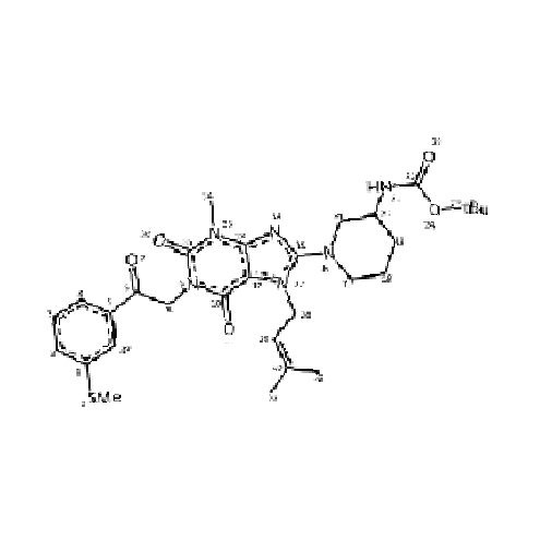 CSc1cccc(C(=O)Cn2c(=O)c3c(nc(N4CCCC(NC(=O)OC(C)(C)C)C4)n3CC=C(C)C)n(C)c2=O)c1